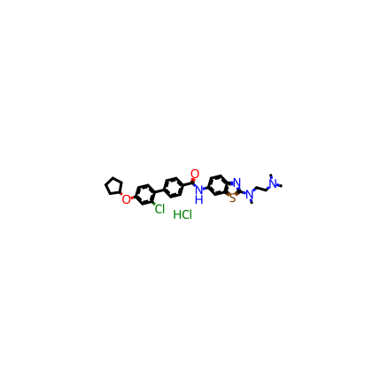 CN(C)CCN(C)c1nc2ccc(NC(=O)c3ccc(-c4ccc(OC5CCCC5)cc4Cl)cc3)cc2s1.Cl